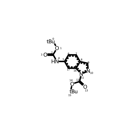 CC(C)(C)OC(=O)Nc1ccc2cnn(C(=O)OC(C)(C)C)c2c1